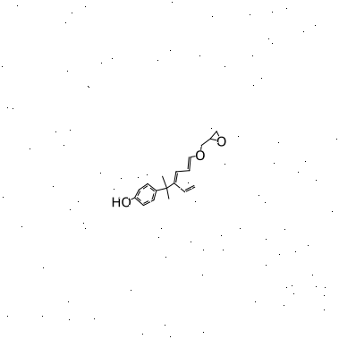 C=C/C(=C\C=C\OCC1CO1)C(C)(C)c1ccc(O)cc1